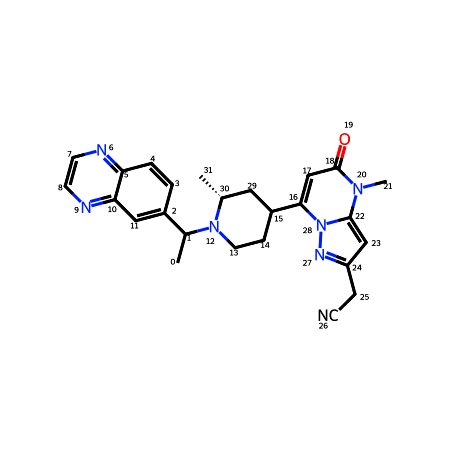 CC(c1ccc2nccnc2c1)N1CCC(c2cc(=O)n(C)c3cc(CC#N)nn23)C[C@H]1C